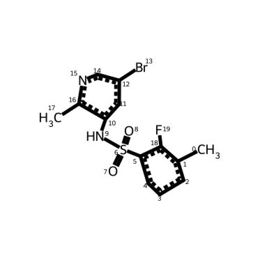 Cc1cccc(S(=O)(=O)Nc2cc(Br)cnc2C)c1F